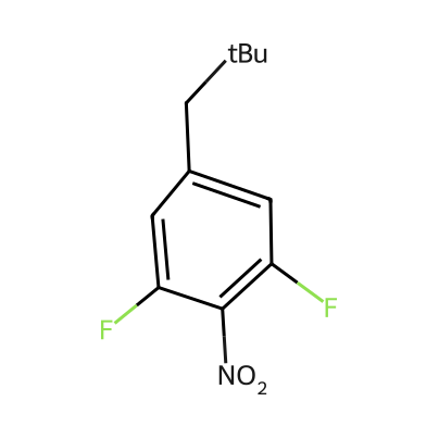 CC(C)(C)Cc1cc(F)c([N+](=O)[O-])c(F)c1